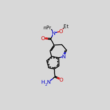 CCCN(OCC)C(=O)C1=Cc2ccc(C(N)=O)cc2N=CC1